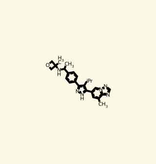 Cc1cc(-c2[nH]nc(-c3ccc(C(C)NC4(C)COC4)cc3)c2C(C)C)cn2ncnc12